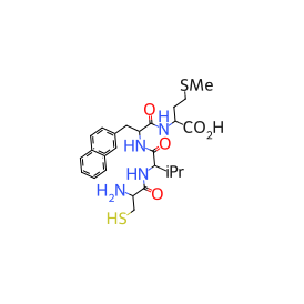 CSCCC(NC(=O)C(Cc1ccc2ccccc2c1)NC(=O)C(NC(=O)C(N)CS)C(C)C)C(=O)O